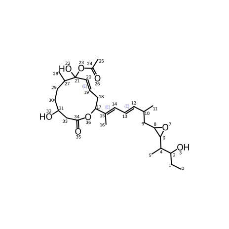 CCC(O)C(C)C1OC1CC(C)/C=C/C=C(\C)C1C/C=C/C(O)(OC(C)=O)C(C)CCC(O)CC(=O)O1